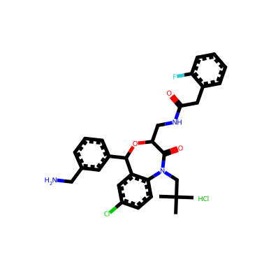 CC(C)(C)CN1C(=O)C(CNC(=O)Cc2ccccc2F)OC(c2cccc(CN)c2)c2cc(Cl)ccc21.Cl